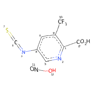 O=C(O)c1ncc(N=C=S)cc1C(F)(F)F.O=NO